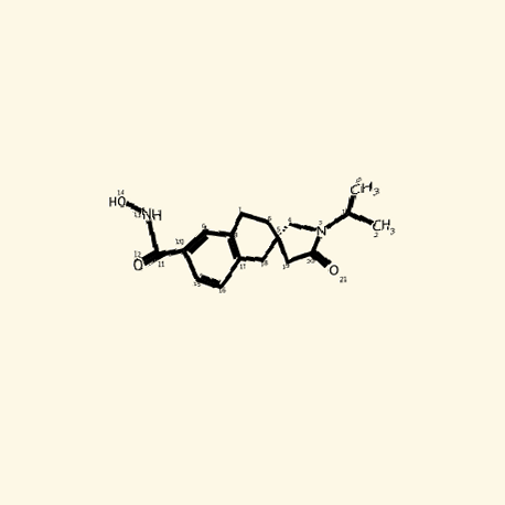 CC(C)N1C[C@]2(CCc3cc(C(=O)NO)ccc3C2)CC1=O